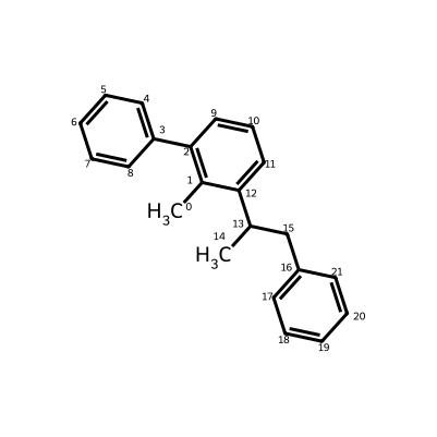 Cc1c(-c2ccccc2)cccc1C(C)Cc1ccccc1